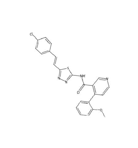 COc1ccccc1-c1ccncc1C(=O)Nc1nnc(C=Cc2ccc(Cl)cc2)s1